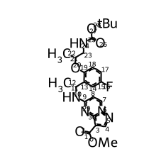 COC(=O)c1cnn2ccc(N[C@H](C)c3cc(F)ccc3O[C@@H](C)CNC(=O)OC(C)(C)C)nc12